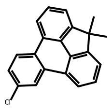 CC1(C)c2cccc3c4ccc(Cl)cc4c4cccc1c4c23